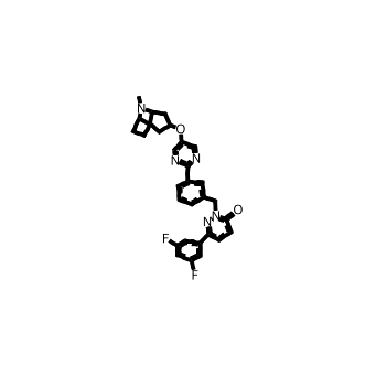 CN1C2CCC23CC(Oc2cnc(-c4cccc(Cn5nc(-c6cc(F)cc(F)c6)ccc5=O)c4)nc2)CC13